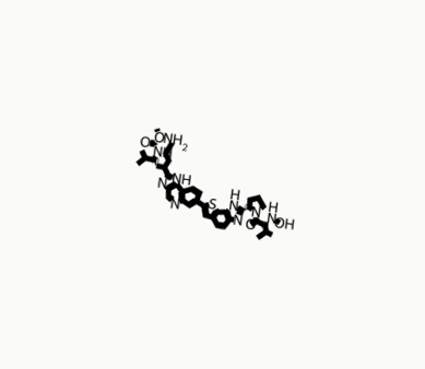 COC(=O)N[C@H](CC(CCCN)c1nc2cnc3cc(-c4cc5ccc6nc([C@@H]7CCCN7C(=O)[C@@H](NO)C(C)C)[nH]c6c5s4)ccc3c2[nH]1)C(C)C